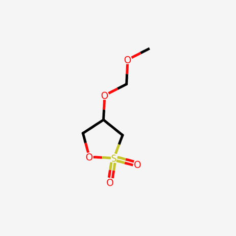 COCOC1COS(=O)(=O)C1